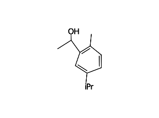 Cc1ccc(C(C)C)cc1C(C)O